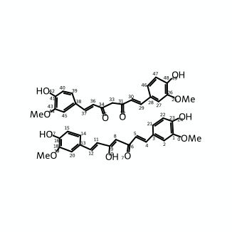 COc1cc(/C=C/C(=O)/C=C(O)/C=C/c2ccc(O)c(OC)c2)ccc1O.COc1cc(C=CC(=O)CC(=O)C=Cc2ccc(O)c(OC)c2)ccc1O